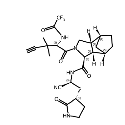 C#CC(C)(C)[C@H](NC(=O)C(F)(F)F)C(=O)N1C[C@@H]2[C@@H]3CC[C@@H](C3)[C@@H]2[C@H]1C(=O)N[C@H](C#N)C[C@@H]1CCNC1=O